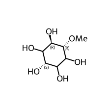 CO[C@@H]1C(O)C(O)[C@H](O)C(O)[C@H]1O